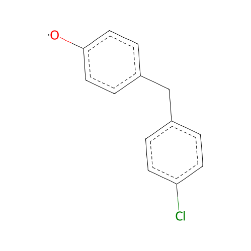 [O]c1ccc(Cc2ccc(Cl)cc2)cc1